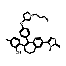 C=C1SC=C(c2ccc3c(c2)CCCC(c2ccc(C)cc2O)=C3c2ccc(OC3CCN(CCCF)C3)cc2)N1C